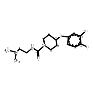 CN(C)CCNC(=O)N1CCC(Oc2ccc(Cl)c(Cl)c2)CC1